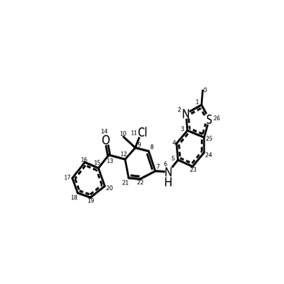 Cc1nc2cc(NC3=CC(C)(Cl)C(C(=O)c4ccccc4)C=C3)ccc2s1